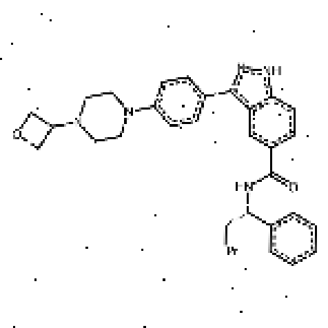 CC(C)C[C@H](NC(=O)c1ccc2[nH]nc(-c3ccc(N4CCN(C5COC5)CC4)cc3)c2c1)c1ccccc1